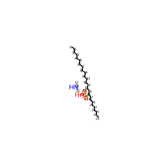 CCCCCCCCCCCCCCCCC(CCCCCCCCC)S(=O)(=O)O.CNC